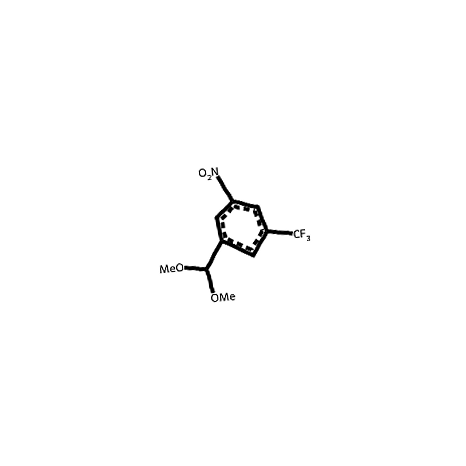 COC(OC)c1cc([N+](=O)[O-])cc(C(F)(F)F)c1